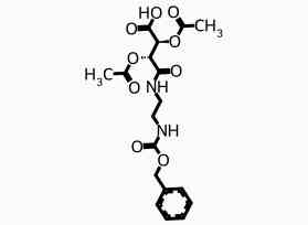 CC(=O)O[C@H](C(=O)O)[C@@H](OC(C)=O)C(=O)NCCNC(=O)OCc1ccccc1